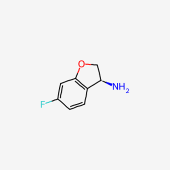 N[C@@H]1COc2cc(F)ccc21